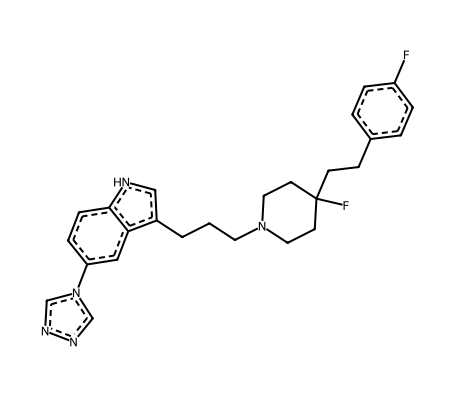 Fc1ccc(CCC2(F)CCN(CCCc3c[nH]c4ccc(-n5cnnc5)cc34)CC2)cc1